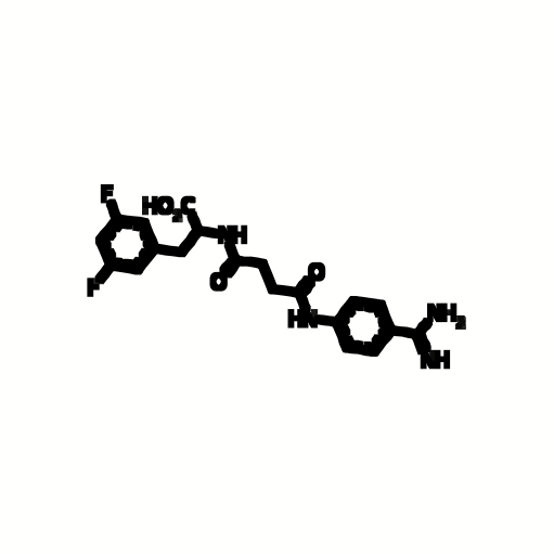 N=C(N)c1ccc(NC(=O)CCC(=O)NC(Cc2cc(F)cc(F)c2)C(=O)O)cc1